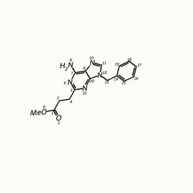 COC(=O)CCc1nc(N)c2ncn(Cc3ccccc3)c2n1